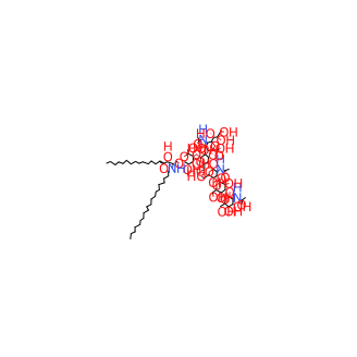 CCCCCCCCCCCCC/C=C/[C@@H](O)[C@H](CO[C@@H]1OC(CO)[C@@H](O[C@@H]2OC(CO)[C@H](O[C@@H]3OC(CO)[C@H](O)[C@H](O[C@@H]4OC(CO)[C@H](O)[C@H](O[C@@H]5OC(CO)[C@@H](O)[C@H](O)C5NC(C)=O)C4O)C3NC(C)=O)[C@H](O[C@]3(C(=O)O)CC(O)[C@@H](NC(C)=O)C([C@H](O)[C@H](O)CO)O3)C2O)[C@H](O)C1O)NC(=O)CCCCCCCCCCCCCCCCCCC